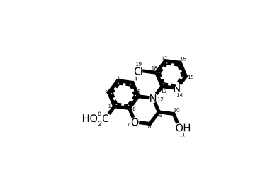 O=C(O)c1cccc2c1OCC(CO)N2c1ncccc1Cl